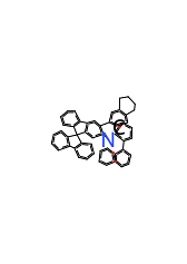 c1ccc(-c2ccccc2N(c2ccccc2)c2cc3c(cc2-c2ccc4c(c2)CCCC4)-c2ccccc2C32c3ccccc3-c3ccccc32)cc1